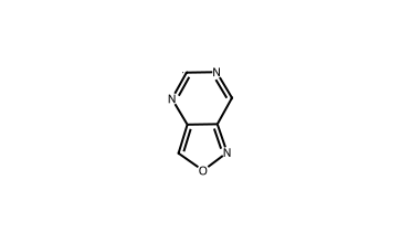 [c]1ncc2nocc2n1